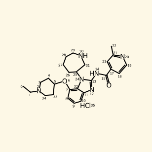 CCN1CCC(Oc2cccc3nc(NC(=O)c4ccnc(C)c4)n(C4CCCCNC4)c23)CC1.Cl